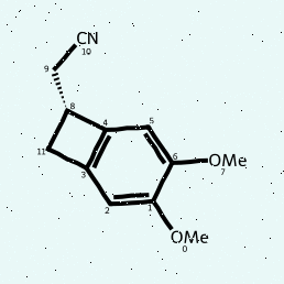 COc1cc2c(cc1OC)[C@@H](CC#N)C2